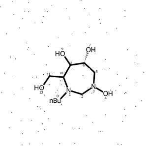 CCCCN1CN(O)C[C@@H](O)C(O)C1CO